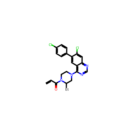 C=CC(=O)N1CCN(c2ncnc3cc(Cl)c(-c4ccc(Cl)cc4)cc23)CC1CC